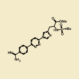 CCCCS(=O)(=O)NC(Cc1cn(-c2ccc(-c3ccc(C(=N)N)cc3)nn2)cn1)C(=O)OC